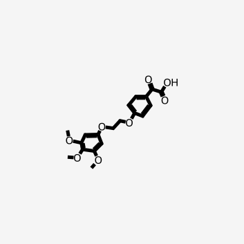 COc1cc(OCCOc2ccc(C(=O)C(=O)O)cc2)cc(OC)c1OC